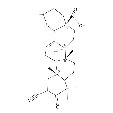 CC1(C)CC[C@]2(C(=O)O)CC[C@]3(C)C(=CCC4[C@@]5(C)CC(C#N)C(=O)C(C)(C)C5CC[C@]43C)C2C1